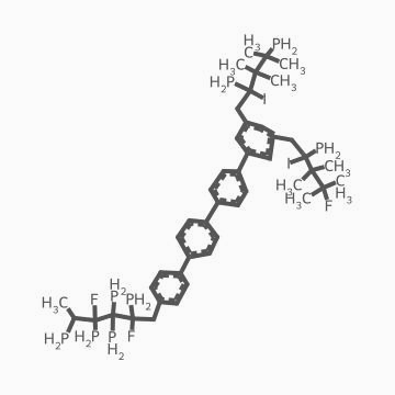 CC(P)C(F)(P)C(P)(P)C(F)(P)Cc1ccc(-c2ccc(-c3ccc(-c4cc(CC(P)(I)C(C)(C)C(C)(C)F)cc(CC(P)(I)C(C)(C)C(C)(C)P)c4)cc3)cc2)cc1